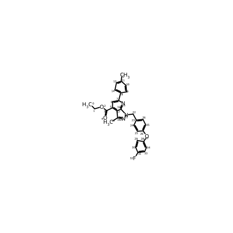 CCOC(=O)c1cc(-c2ccc(C)cc2)nc2c1c(C)nn2Cc1ccc(Oc2ccc(F)cc2)cc1